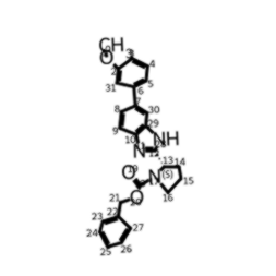 COc1cccc(-c2ccc3nc([C@@H]4CCCN4C(=O)OCc4ccccc4)[nH]c3c2)c1